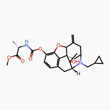 C=C1CC2C[C@]34c5c(ccc(OC(=O)N[C@@H](C)C(=O)OC)c5OC13)C[C@@H](N2CC1CC1)C4(C)O